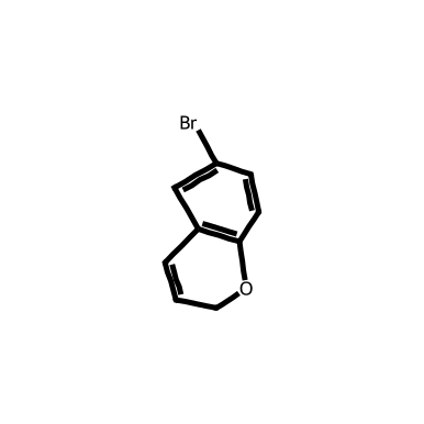 Brc1ccc2c(c1)C=CCO2